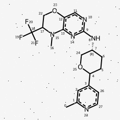 Cc1cc(C2CC[C@@H](Nc3ncc4c(n3)N(C)C(C(F)(F)F)CO4)CO2)ccn1